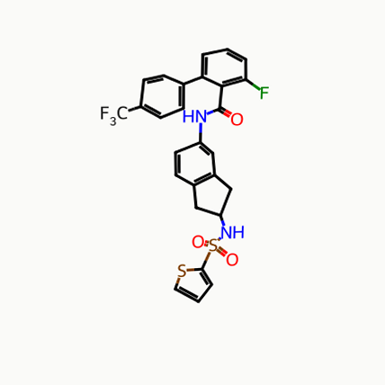 O=C(Nc1ccc2c(c1)CC(NS(=O)(=O)c1cccs1)C2)c1c(F)cccc1-c1ccc(C(F)(F)F)cc1